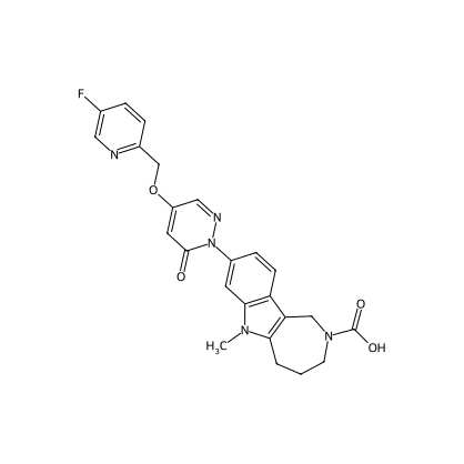 Cn1c2c(c3ccc(-n4ncc(OCc5ccc(F)cn5)cc4=O)cc31)CN(C(=O)O)CCC2